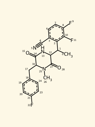 CC(c1c(C#N)ccc(F)c1F)C1NC(=O)C(Cc2ccc(F)cc2)N(C)C1=O